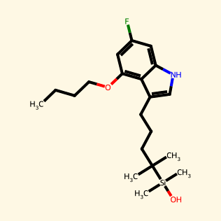 CCCCOc1cc(F)cc2[nH]cc(CCCC(C)(C)[Si](C)(C)O)c12